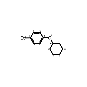 [CH2]Cc1ccc(OC2CCCCC2)cc1